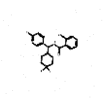 O=C(NC(c1ccc(F)nc1)C1CCC(F)(F)CC1)c1ccccc1Cl